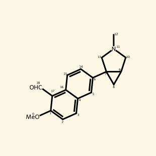 COc1ccc2cc(C34CC3CN(C)C4)ccc2c1C=O